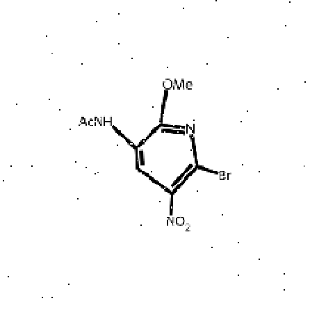 COc1nc(Br)c([N+](=O)[O-])cc1NC(C)=O